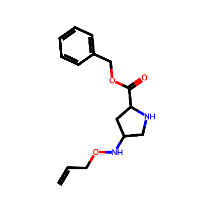 C=CCONC1CNC(C(=O)OCc2ccccc2)C1